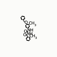 Cc1cc(NC(=O)NC(=O)c2ccccc2C)ccc1OCc1ccccc1